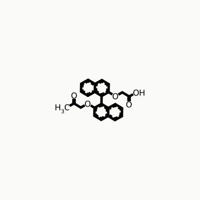 CC(=O)COc1ccc2ccccc2c1-c1c(OCC(=O)O)ccc2ccccc12